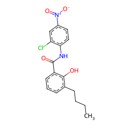 CCCCc1cccc(C(=O)Nc2ccc([N+](=O)[O-])cc2Cl)c1O